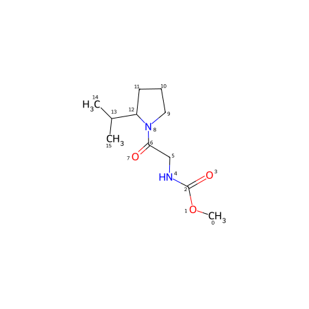 COC(=O)NCC(=O)N1CCCC1C(C)C